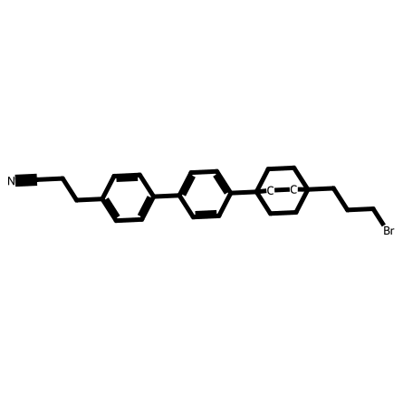 N#CCCc1ccc(-c2ccc(C34CCC(CCCBr)(CC3)CC4)cc2)cc1